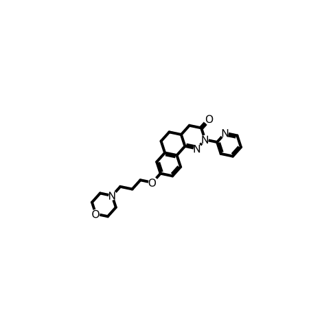 O=C1CC2CCc3cc(OCCCN4CCOCC4)ccc3C2=NN1c1ccccn1